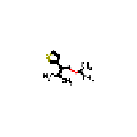 CC(C)OCC(c1ccsc1)C(C)C